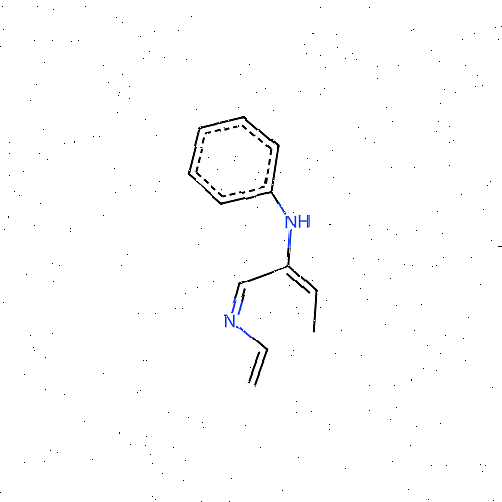 C=C/N=C\C(=C/C)Nc1ccccc1